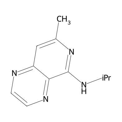 Cc1cc2nccnc2c(NC(C)C)n1